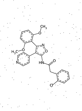 COc1cccc(OC)c1-c1noc(NC(=O)Cc2ccccc2Cl)c1-c1ccncc1